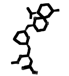 CSO[C@@H](CC(=O)O)C[C@@H]1CCC[C@H](C[C@@H]2CCOC3(C[C@H](C)CC[C@H]3C(C)C)O2)O1